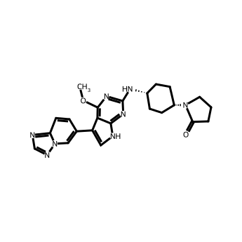 COc1nc(N[C@H]2CC[C@@H](N3CCCC3=O)CC2)nc2[nH]cc(-c3ccc4ncnn4c3)c12